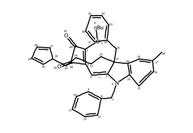 CCCCOc1c(/C=C2/N(Cc3ccccc3)c3ccc(C)cc3C2(CCCCC2C=CC=C2)Cc2ccccc2)c(=O)c1=O